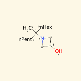 CCCCCCC(C)(CCCCC)N1CC(O)C1